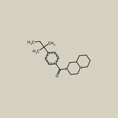 CCC(C)(C)c1ccc(C(=O)N2CCN3CCCCC3C2)cc1